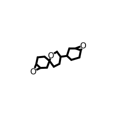 C1CC2(CCC3OC3C2)OCC1C1CCC2OC2C1